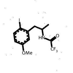 COc1ccc(I)c(CC(C)NC(=O)C(F)(F)F)c1